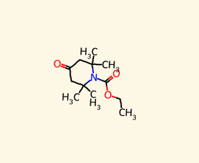 CCOC(=O)N1C(C)(C)CC(=O)CC1(C)C